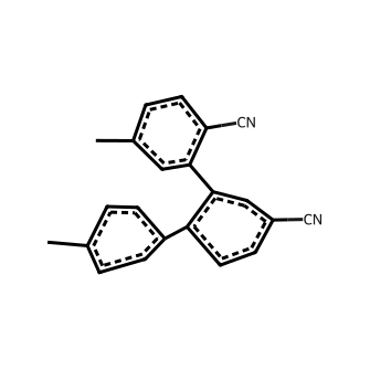 Cc1ccc(-c2ccc(C#N)cc2-c2cc(C)ccc2C#N)cc1